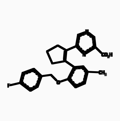 Cc1ccc(OCc2ccc(F)cc2)c(C2=C(c3cncc(C(=O)O)n3)CCC2)c1